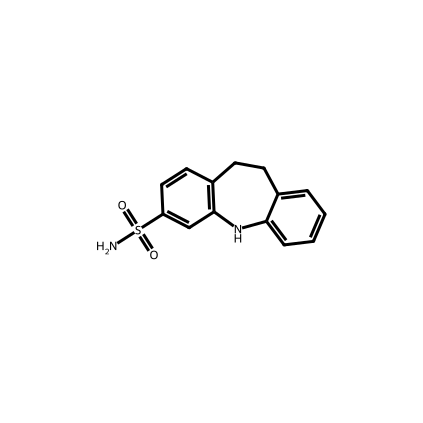 NS(=O)(=O)c1ccc2c(c1)Nc1ccccc1CC2